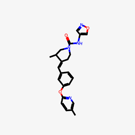 Cc1ccc(Oc2cccc(C=C3CCN(C(=O)Nc4cnoc4)CC3C)c2)nc1